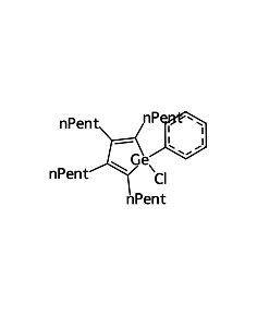 CCCCCC1=[C](CCCCC)[Ge]([Cl])([c]2ccccc2)[C](CCCCC)=C1CCCCC